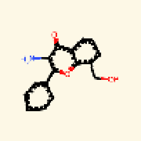 Nc1c(-c2ccccc2)oc2c(CO)cccc2c1=O